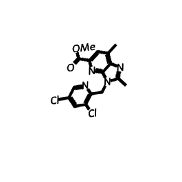 COC(=O)c1cc(C)c2nc(C)n(Cc3ncc(Cl)cc3Cl)c2n1